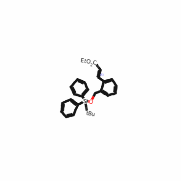 CCOC(=O)/C=C/c1ccccc1CO[Si](c1ccccc1)(c1ccccc1)C(C)(C)C